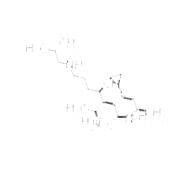 C=C\C=C(C(/C(C)=N\C)=C(/C(=C)C)C(=C)CCCNCC(C)C)\C1CC1